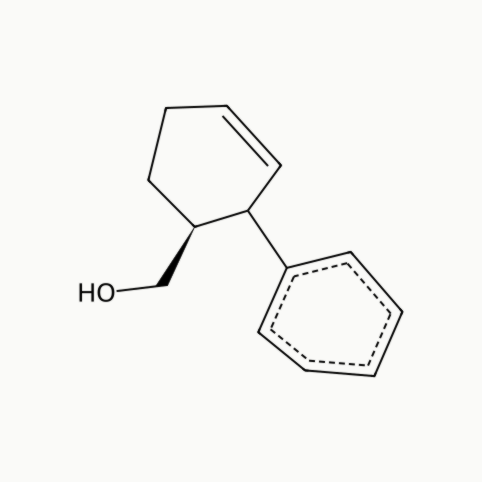 OC[C@H]1CCC=CC1c1ccccc1